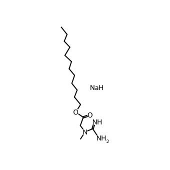 CCCCCCCCCCCCOC(=O)CN(C)C(=N)N.[NaH]